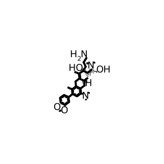 CC1=C2Cc3c(C)c(-c4ccc5c(c4)OCO5)cc(N(C)C)c3C[C@H]2C[C@@H]([C@@H](CO)N(C)C)[C@@]1(O)CCCN